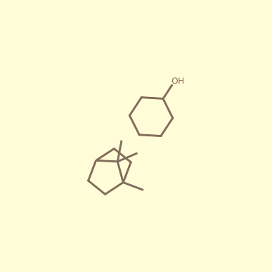 CC12CCC(CC1)C2(C)C.OC1CCCCC1